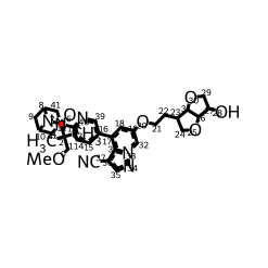 COCC(C)(C)C(=O)N1C2CC1CN(c1ccc(-c3cc(OCCC4COC5C(O)COC45)cn4ncc(C#N)c34)cn1)C2